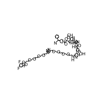 COc1cnc(-n2cnc(C(=O)N[C@H]3C[C@@H](CO)N(c4cc(NCCOCCOCCOCCOCc5cn(CCOCCOCCOCCOCCC(=O)Oc6c(F)cc(F)cc6F)nn5)ncn4)C3)n2)c2[nH]cc(C(=O)C(=O)N3CCC(=C(C#N)c4ccccc4)CC3)c12